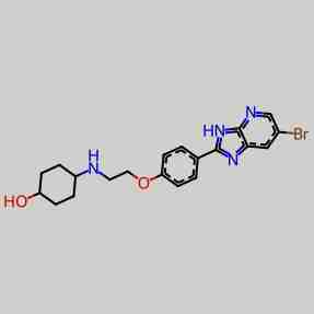 OC1CCC(NCCOc2ccc(-c3nc4cc(Br)cnc4[nH]3)cc2)CC1